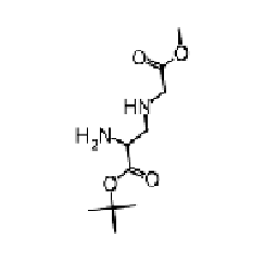 COC(=O)CNCC(N)C(=O)OC(C)(C)C